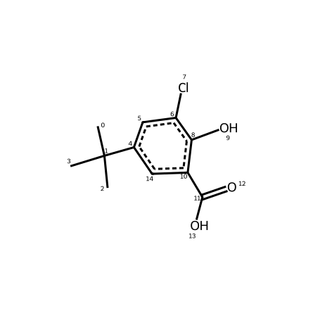 CC(C)(C)c1cc(Cl)c(O)c(C(=O)O)c1